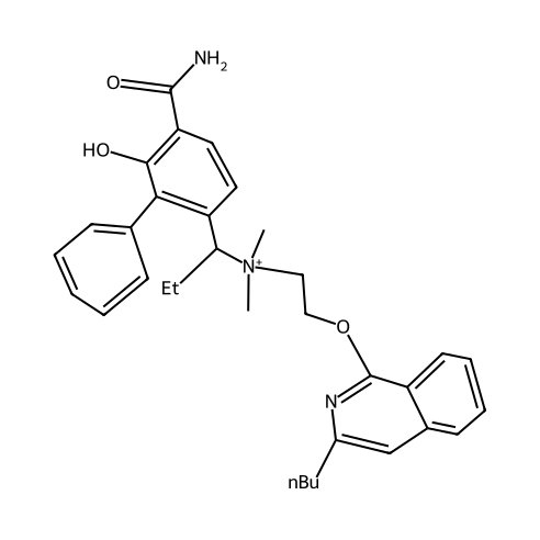 CCCCc1cc2ccccc2c(OCC[N+](C)(C)C(CC)c2ccc(C(N)=O)c(O)c2-c2ccccc2)n1